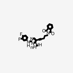 CCCNc1nc(Nc2ccc(F)c(F)c2)ncc1C#CCCCN1C(=O)c2ccccc2C1=O